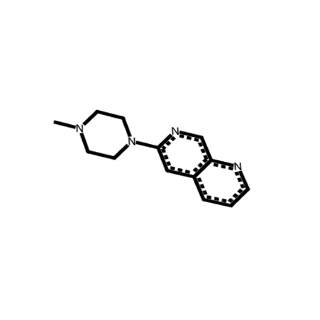 CN1CCN(c2cc3cccnc3cn2)CC1